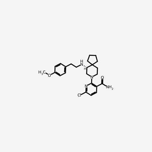 COc1ccc(CCN[C@H]2CN(c3nc(Cl)ccc3C(N)=O)CCC23CCCC3)cc1